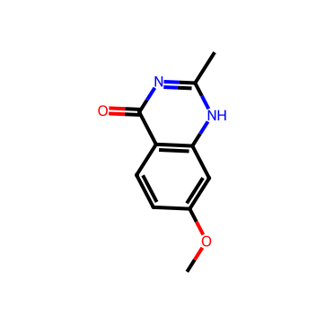 COc1ccc2c(=O)nc(C)[nH]c2c1